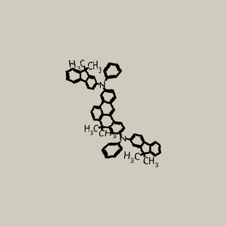 CC1(C)c2ccccc2-c2ccc(N(c3ccccc3)c3ccc4c(c3)C(C)(C)c3cccc5c3c-4cc3ccc(N(c4ccccc4)c4ccc6c(c4)C(C)(C)c4ccccc4-6)cc35)cc21